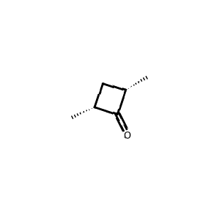 C[C@@H]1C[C@H](C)C1=O